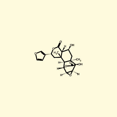 C[C@@]12C[C@H](c3ccoc3)OC(=O)[C@@H]1[C@@H](O)C[C@]1(C)[C@H]2[C@@H]2OC(=O)[C@@]1(O)[C@H]1O[C@@H]21